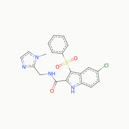 Cn1ccnc1CNC(=O)c1[nH]c2ccc(Cl)cc2c1S(=O)(=O)c1ccccc1